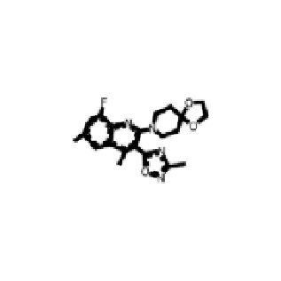 Cc1cc(F)c2nc(N3CCC4(CC3)OCCO4)c(-c3nc(C)no3)c(C)c2c1